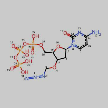 [N-]=[N+]=NCOC1C[C@H](n2ccc(N)nc2=O)O[C@@H]1COP(=O)(O)OP(=O)(O)OP(=O)(O)O